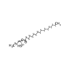 CCCCCCCCCCCCCCCCCC(=O)OC(CS)CCCC